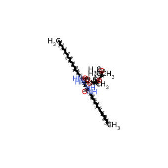 CCCCCCCCCCCCCCCCCCNC(=O)NC(CNC(=O)NCCCCCCCCCCCCCCCC)C(=O)OCCC(C)(C)OCCC(C)(C)OC